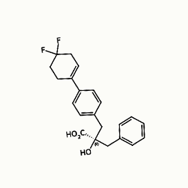 O=C(O)[C@@](O)(Cc1ccccc1)Cc1ccc(C2=CCC(F)(F)CC2)cc1